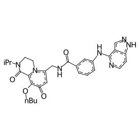 CCCCOc1c2n(c(CNC(=O)c3cccc(Nc4nccc5[nH]ncc45)c3)cc1=O)CCN(C(C)C)C2=O